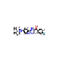 CN(C)c1ccc(-c2nc(C(=O)c3ccc(F)cc3)c[nH]2)cc1